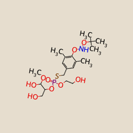 COC(O)C(CO)OP(=O)(OCCO)SCc1cc(C)c(ONOC(C)(C)C)c(C)c1